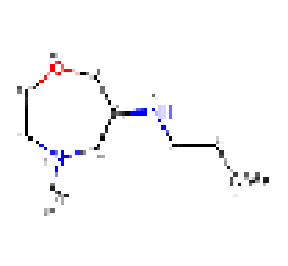 COCCN[C@@H]1COCCN(C(C)C)C1